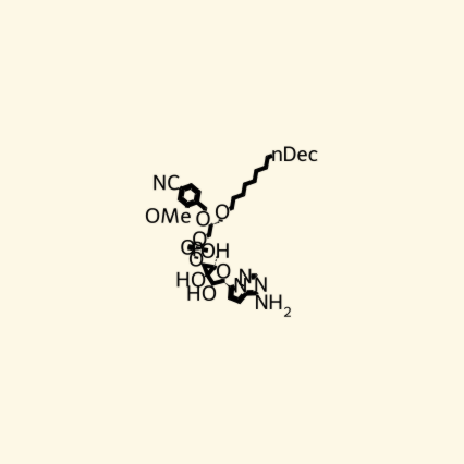 CCCCCCCCCCCCCCCCCCOC[C@H](COP(=O)(O)O[C@H]1[C@]2(O)[C@@H](O)[C@@H](c3ccc4c(N)ncnn34)O[C@]12C)OCc1ccc(C#N)cc1OC